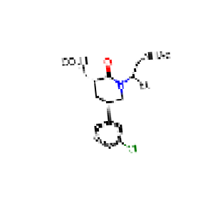 CCC(CNC(C)=O)N1C[C@@H](c2cccc(Cl)c2)C[C@H](CC(=O)O)C1=O